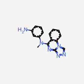 CN(c1cccc(N)c1)c1nc2nncn2c2ccccc12